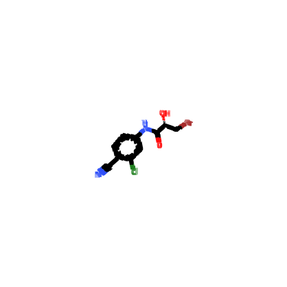 N#Cc1ccc(NC(=O)[C@H](O)CBr)cc1Cl